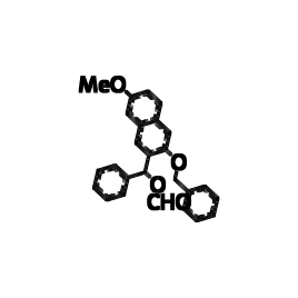 COc1ccc2cc(OCc3ccccc3)c(C(OC=O)c3ccccc3)cc2c1